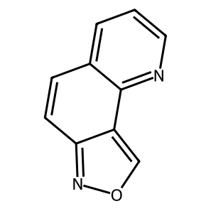 c1cnc2c(c1)ccc1nocc12